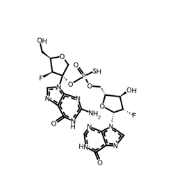 Nc1nc2c(ncn2[C@]2(OP(=O)(S)OC[C@H]3O[C@@H](n4cnc5c(=O)[nH]cnc54)[C@@H](F)[C@@H]3O)CO[C@H](CO)[C@@H]2F)c(=O)[nH]1